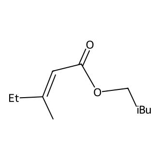 CCC(C)=CC(=O)OCC(C)CC